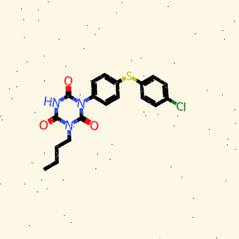 CCCCn1c(=O)[nH]c(=O)n(-c2ccc(Sc3ccc(Cl)cc3)cc2)c1=O